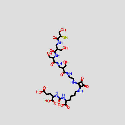 O=C(O)CCC(NC(=O)NC(CCCCNc1c(NCCNC(=O)C(CO)CNC(=O)C(CO)NC(=O)C(CO)CNC(=O)C(S)CO)c(=O)c1=O)C(=O)O)C(=O)O